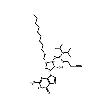 CCCCCCCCCOC[C@H]1O[C@@H](n2cnc3c(=O)[nH]c(N)nc32)[C@H](O)[C@@H]1OP(OCCC#N)N(C(C)C)C(C)C